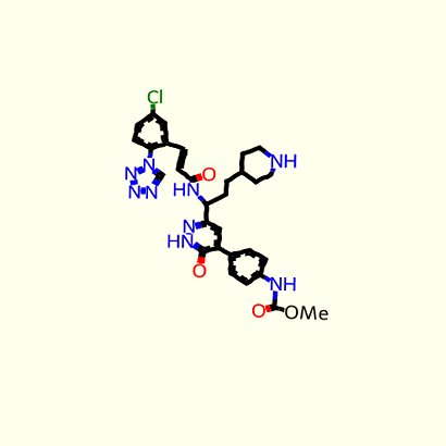 COC(=O)Nc1ccc(-c2cc(C(CCC3CCNCC3)NC(=O)C=Cc3cc(Cl)ccc3-n3cnnn3)n[nH]c2=O)cc1